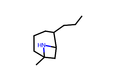 CCCC1CCCC2(C)CC1N2